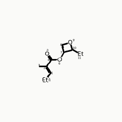 CCC=C(C)C(=O)OC1COC1CC